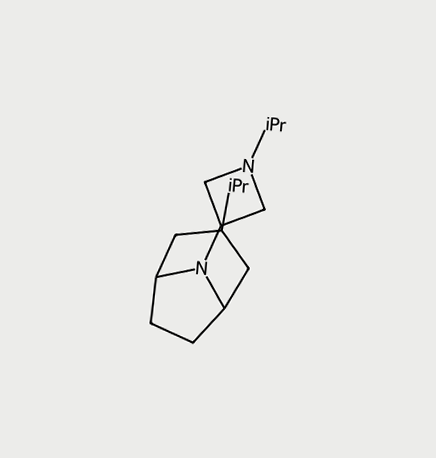 CC(C)C1CC2CCC(C1)N2C1CN(C(C)C)C1